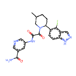 CC1CCC(c2ccc3[nH]ncc3c2F)N(C(=O)C(=O)Nc2cncc(C(N)=O)c2)C1